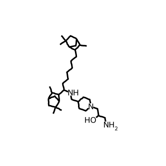 CC1C2CC(C1CCCCCCC(NCC1CCN(CC(O)CN)CC1)C1C(C)C3CC1C(C)(C)C3)C(C)(C)C2